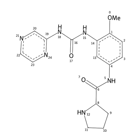 COc1ccc(NC(=O)C2CCCN2)cc1NC(=O)Nc1cnccn1